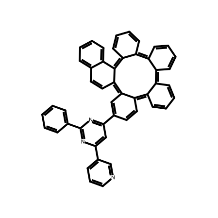 c1ccc(-c2nc(-c3cccnc3)cc(-c3ccc4c5ccccc5c5ccccc5c5ccccc5c5c6ccccc6ccc5c4c3)n2)cc1